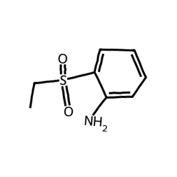 CCS(=O)(=O)c1ccccc1N